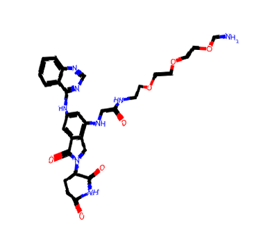 NCOCCOCCOCCNC(=O)CNc1cc(Nc2ncnc3ccccc23)cc2c1CN(C1CCC(=O)NC1=O)C2=O